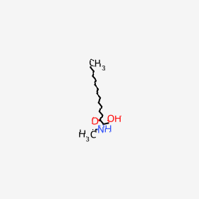 C[CH]NC(CO)C(=O)CCCCCCCCCCCCC